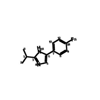 CC(C)c1ncc(-c2ccc(F)cc2)[nH]1